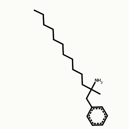 CCCCCCCCCCCC(C)(N)Cc1ccccc1